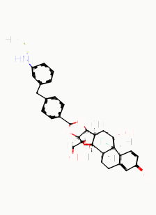 CSNc1cccc(Cc2ccc(C3O[C@@H]4C[C@H]5[C@@H]6CCC7=CC(=O)C=C[C@]7(C)[C@@]6(F)[C@@H](O)C[C@]5(C)[C@]4(C(=O)CO)O3)cc2)c1